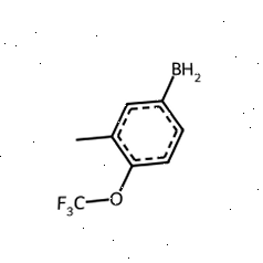 Bc1ccc(OC(F)(F)F)c(C)c1